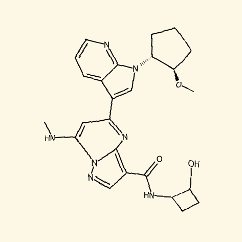 CNc1cc(-c2cn([C@@H]3CCC[C@H]3OC)c3ncccc23)nc2c(C(=O)NC3CCC3O)cnn12